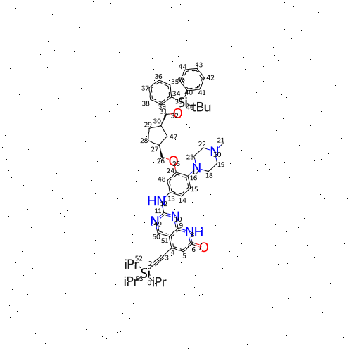 CC(C)[Si](C#Cc1cc(=O)[nH]c2nc(Nc3ccc(N4CCN(C)CC4)c(OC[C@H]4CC[C@@H](CO[Si](c5ccccc5)(c5ccccc5)C(C)(C)C)C4)c3)ncc12)(C(C)C)C(C)C